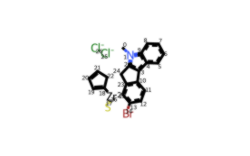 Cn1c2c(c3ccccc31)-c1ccc(Br)[c]([Zr+2](=[S])[C]3=CC=CC3)c1C2.[Cl-].[Cl-]